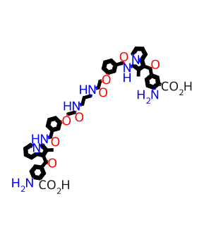 Cc1c(C(=O)c2ccc(N)c(C(=O)O)c2)c2ccccn2c1NC(=O)c1cccc(OCC(=O)NCCCNC(=O)COc2cccc(C(=O)Nc3c(C)c(C(=O)c4ccc(N)c(C(=O)O)c4)c4ccccn34)c2)c1